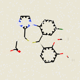 COc1cccc([C@H]2S[C@H](CC(=O)O)c3nccn3-c3ccc(Cl)cc32)c1OC